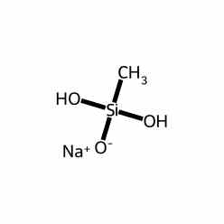 C[Si]([O-])(O)O.[Na+]